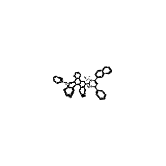 CN1C(c2ccc3ccccc3c2)=CC(c2ccccc2)NC1c1cc2c3ccccc3c3c(c4ccccc4n3-c3ccccc3)c2c2ccccc12